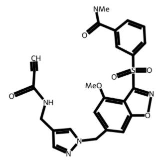 C#CC(=O)NCc1cnn(Cc2cc(OC)c3c(S(=O)(=O)c4cccc(C(=O)NC)c4)noc3c2)c1